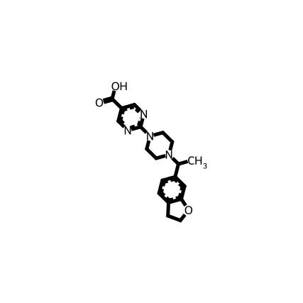 CC(c1ccc2c(c1)OCC2)N1CCN(c2ncc(C(=O)O)cn2)CC1